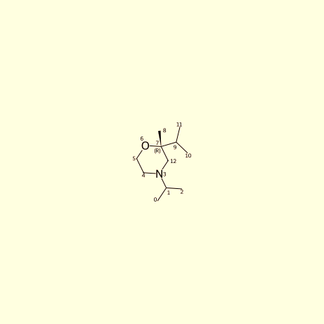 CC(C)N1CCO[C@](C)(C(C)C)C1